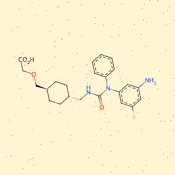 Nc1cc(F)cc(N(C(=O)NC[C@H]2CC[C@H](COCC(=O)O)CC2)c2ccccc2)c1